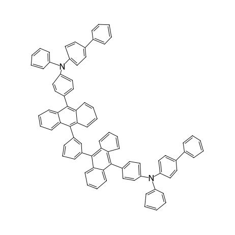 c1ccc(-c2ccc(N(c3ccccc3)c3ccc(-c4c5ccccc5c(-c5cccc(-c6c7ccccc7c(-c7ccc(N(c8ccccc8)c8ccc(-c9ccccc9)cc8)cc7)c7ccccc67)c5)c5ccccc45)cc3)cc2)cc1